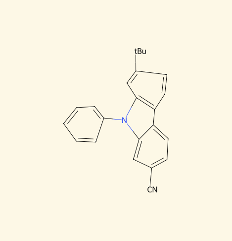 CC(C)(C)c1ccc2c3ccc(C#N)cc3n(-c3ccccc3)c2c1